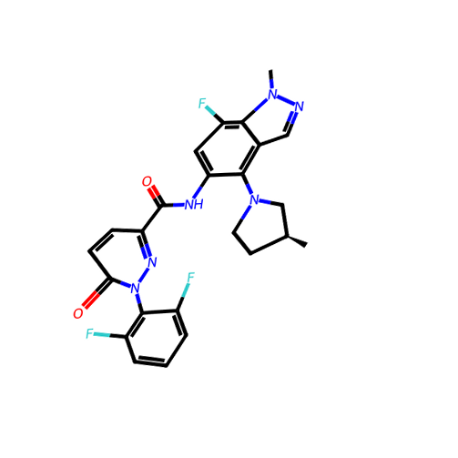 C[C@H]1CCN(c2c(NC(=O)c3ccc(=O)n(-c4c(F)cccc4F)n3)cc(F)c3c2cnn3C)C1